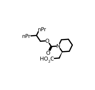 CCCC(CCC)COC(=O)N1CCCC[C@H]1CC(=O)O